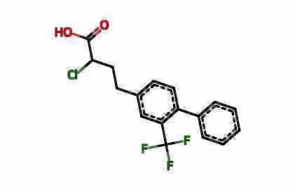 O=C(O)C(Cl)CCc1ccc(-c2ccccc2)c(C(F)(F)F)c1